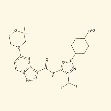 CC1(C)CN(c2ccn3ncc(C(=O)Nc4cn(C5CCC(C=O)CC5)nc4C(F)F)c3n2)CCO1